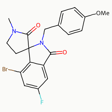 COc1ccc(CN2C(=O)c3cc(F)cc(Br)c3C23CCN(C)C3=O)cc1